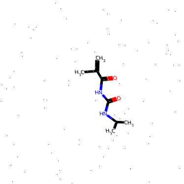 C=C(C)C(=O)NC(=O)NC(C)C